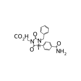 C[C@@]1(c2ccc(C(N)=O)cc2)C(=O)N(CC(=O)O)C(=O)N1Cc1ccccc1